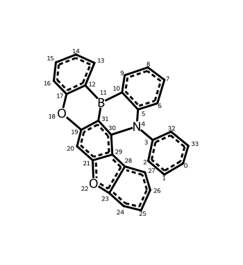 c1ccc(N2c3ccccc3B3c4ccccc4Oc4cc5oc6ccccc6c5c2c43)cc1